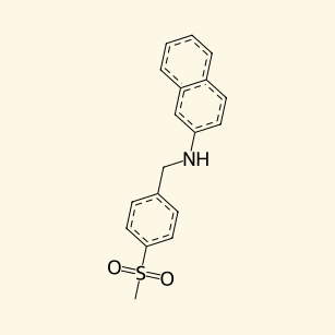 CS(=O)(=O)c1ccc(CNc2ccc3ccccc3c2)cc1